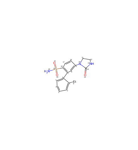 CCc1ccccc1-c1cc(N2CCNC2=O)ccc1S(N)(=O)=O